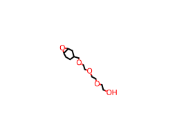 OCCOCCOCCOCC1CCC2OC2C1